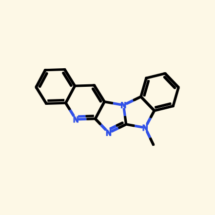 Cn1c2ccccc2n2c3cc4ccccc4nc3nc12